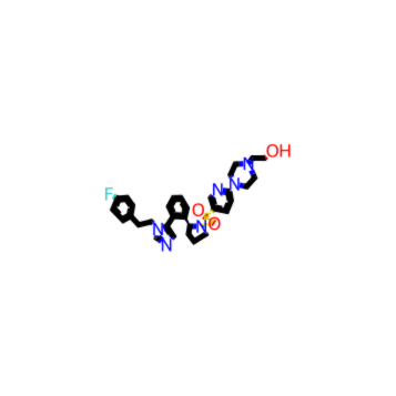 O=S(=O)(c1ccc(N2CCN(CCO)CC2)nc1)N1CCC[C@H]1c1ccccc1-c1cncn1CCc1ccc(F)cc1